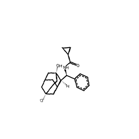 O=C(N[C@@H](c1ccccc1)[C@H]1C2CC3C[C@](Cl)(C2)C[C@@]1(O)C3)C1CC1